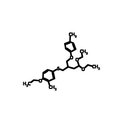 CCOc1ccc(SCC(COc2ccc(C)cc2)CC(OCC)OCC)cc1C